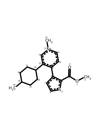 COC(=O)c1sccc1-c1cc[n+](C)cc1C1CCC(C)CC1